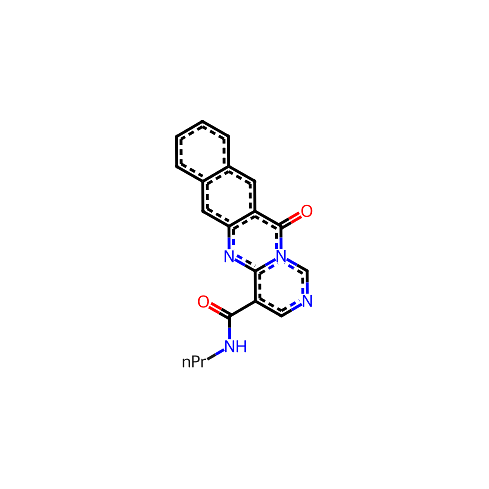 CCCNC(=O)c1cncn2c(=O)c3cc4ccccc4cc3nc12